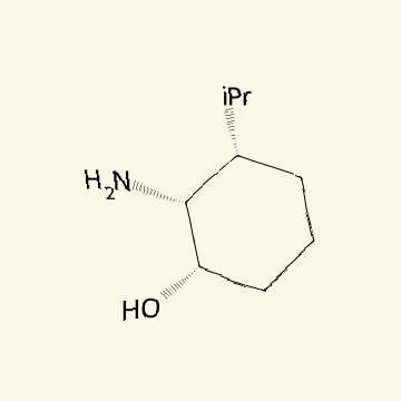 CC(C)[C@@H]1CCC[C@H](O)[C@@H]1N